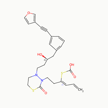 C=C/C=C(/CCN1C(=O)SCCN1CC[C@@H](O)Cc1cccc(C#Cc2ccoc2)c1)SC(=O)O